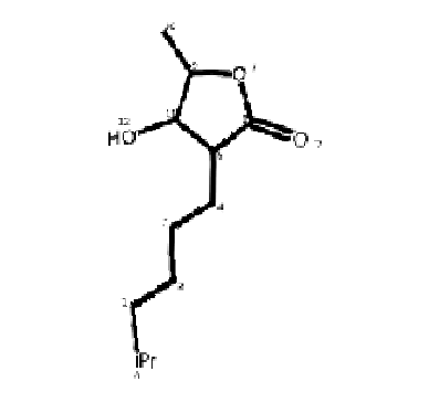 CC(C)CCCCC1C(=O)OC(C)C1O